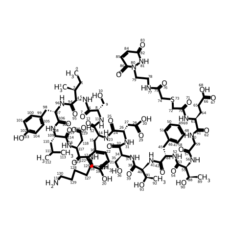 CC[C@H](C)[C@H](NC(=O)[C@H](CO)NC(=O)[C@H](Cc1ccc(O)cc1)NC(=O)[C@H](CC(=O)O)NC(=O)[C@H](CO)NC(=O)[C@@H](NC(=O)[C@H](Cc1ccccc1)NC(=O)[C@@H](NC(=O)CNC(=O)[C@H](CCC(=O)O)NC(=O)CSCC(=O)NCCn1[nH]c(=O)ccc1=O)[C@@H](C)O)[C@@H](C)O)C(=O)N[C@@H](Cc1ccc(O)cc1)C(=O)N[C@@H](CC(C)C)C(=O)N[C@@H](CC(=O)O)C(=O)N[C@H](C)CCCCN